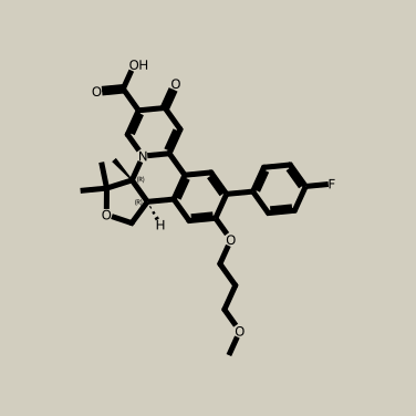 COCCCOc1cc2c(cc1-c1ccc(F)cc1)-c1cc(=O)c(C(=O)O)cn1[C@]1(C)[C@@H]2COC1(C)C